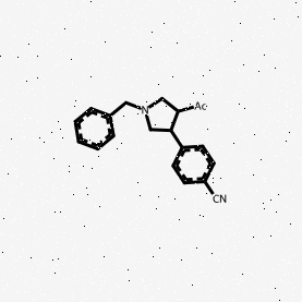 CC(=O)C1CN(Cc2ccccc2)CC1c1ccc(C#N)cc1